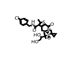 Cc1sc2c(c1C(=O)NCc1ccc(Cl)cc1)CCN(CC1(S(=O)(=O)C(C)(C)C(O)CO)CC1)C2=O